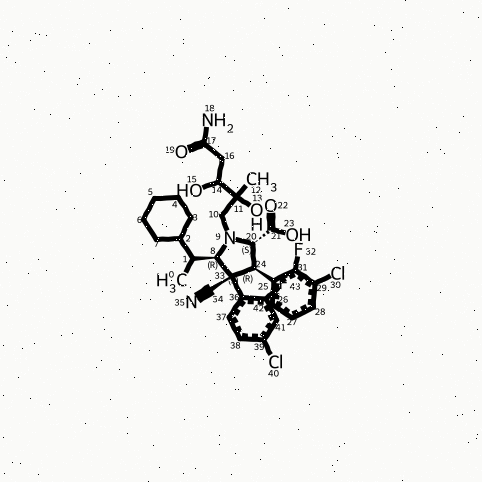 CC(C1CCCCC1)[C@H]1N(CC(C)(O)C(O)CC(N)=O)[C@H](C(=O)O)[C@@H](c2cccc(Cl)c2F)[C@]1(C#N)c1ccc(Cl)cc1F